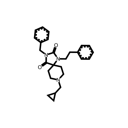 O=C1N(Cc2ccccc2)C(=O)C2(CCN(CC3CC3)CC2)N1CCc1ccccc1